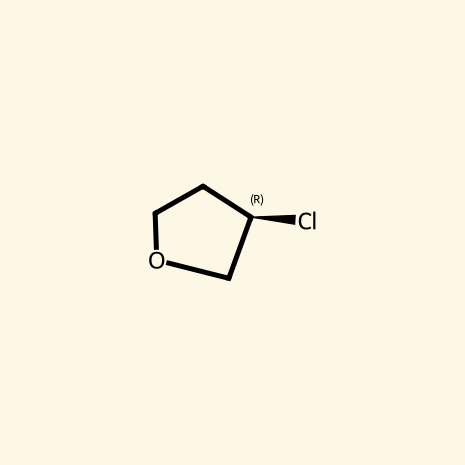 Cl[C@@H]1CCOC1